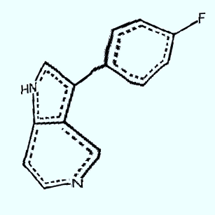 Fc1ccc(-c2c[nH]c3ccncc23)cc1